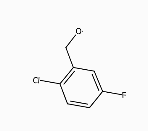 [O]Cc1cc(F)ccc1Cl